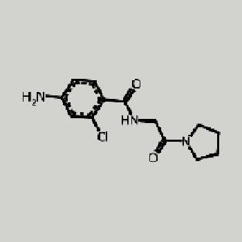 Nc1ccc(C(=O)NCC(=O)N2CCCC2)c(Cl)c1